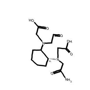 NC(=O)CN(CC(=O)O)[C@@H]1CCCCC1N(CC=O)CC(=O)O